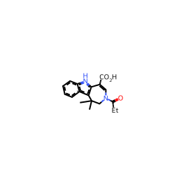 CCC(=O)N1C=C(C(=O)O)c2[nH]c3ccccc3c2C(C)(C)C1